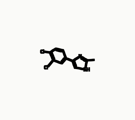 Cc1nc(-c2ccc(Cl)c(Cl)c2)c[nH]1